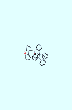 c1ccc(-c2c3ccccc3c(-c3cccc4oc5cccc(-c6ccc7ccc8ccccc8c7c6)c5c34)c3ccccc23)cc1